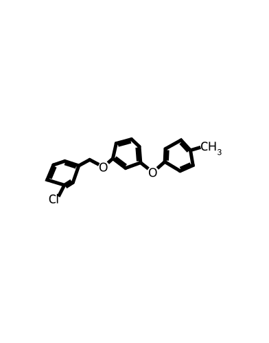 Cc1ccc(Oc2cccc(OCc3cccc(Cl)c3)c2)cc1